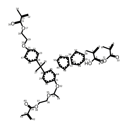 C=C(C)C(=O)O.C=C(C)C(=O)O.C=C(C)C(=O)OCCOc1ccc(C(C)(C)c2ccc(OC(C)OCCOC(=O)C(=C)C)cc2)cc1.c1ccccc1.c1ccccc1